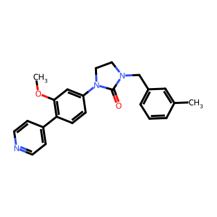 COc1cc(N2CCN(Cc3cccc(C)c3)C2=O)ccc1-c1ccncc1